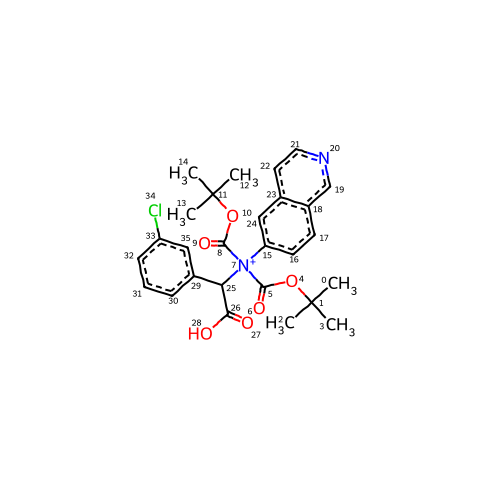 CC(C)(C)OC(=O)[N+](C(=O)OC(C)(C)C)(c1ccc2cnccc2c1)C(C(=O)O)c1cccc(Cl)c1